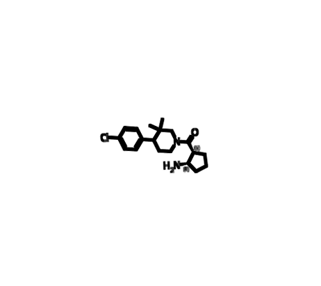 CC1(C)CN(C(=O)[C@H]2CCC[C@H]2N)CCC1c1ccc(Cl)cc1